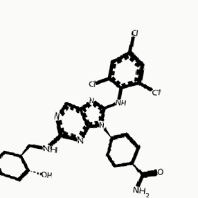 NC(=O)[C@H]1CC[C@@H](n2c(Nc3c(Cl)cc(Cl)cc3Cl)nc3cnc(NC[C@@H]4CCCC[C@H]4O)nc32)CC1